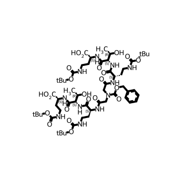 C[C@@H](O)[C@H](NC(=O)[C@H](CCNC(=O)OC(C)(C)C)NC(=O)CN(CC(=O)N[C@@H](CCNC(=O)OC(C)(C)C)C(=O)N[C@H](C(=O)N[C@@H](CCNC(=O)OC(C)(C)C)C(=O)O)[C@@H](C)O)C(=O)OCc1ccccc1)C(=O)N[C@@H](CCNC(=O)OC(C)(C)C)C(=O)O